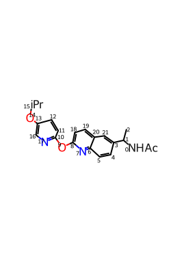 CC(=O)NC(C)c1ccc2nc(Oc3ccc(OC(C)C)cn3)ccc2c1